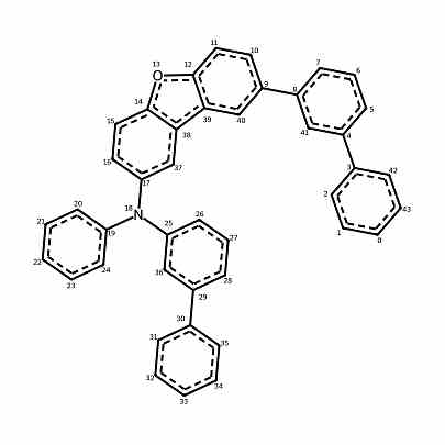 c1ccc(-c2cccc(-c3ccc4oc5ccc(N(c6ccccc6)c6cccc(-c7ccccc7)c6)cc5c4c3)c2)cc1